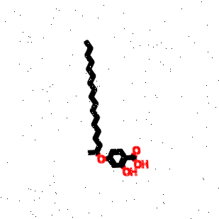 CCCCCCCCCCCCCCCCC(C)Oc1ccc(C(=O)O)c(O)c1